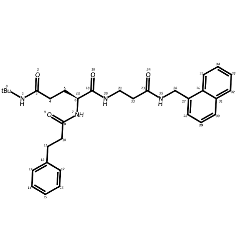 CC(C)(C)NC(=O)CC[C@H](NC(=O)CCc1ccccc1)C(=O)NCCC(=O)NCc1cccc2ccccc12